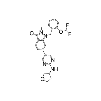 Cn1c(=O)c2ccc(-c3cnc(N[C@H]4CCOC4)nc3)cc2n1Cc1ccccc1OC(F)F